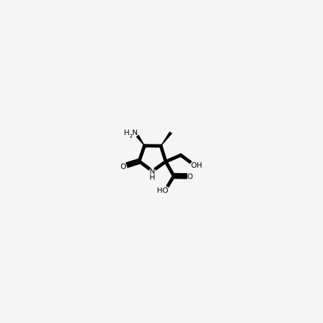 C[C@@H]1[C@H](N)C(=O)NC1(CO)C(=O)O